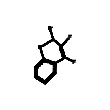 FC1=C(F)C(Br)Oc2ccccc21